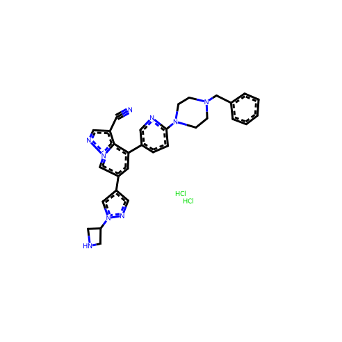 Cl.Cl.N#Cc1cnn2cc(-c3cnn(C4CNC4)c3)cc(-c3ccc(N4CCN(Cc5ccccc5)CC4)nc3)c12